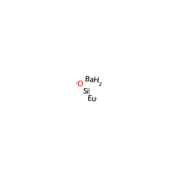 [BaH2].[Eu].[O].[Si]